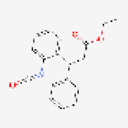 CCOC(=O)CC(c1ccccc1)c1ccccc1N=C=O